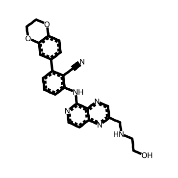 N#Cc1c(Nc2nccc3nc(CNCCO)cnc23)cccc1-c1ccc2c(c1)OCCO2